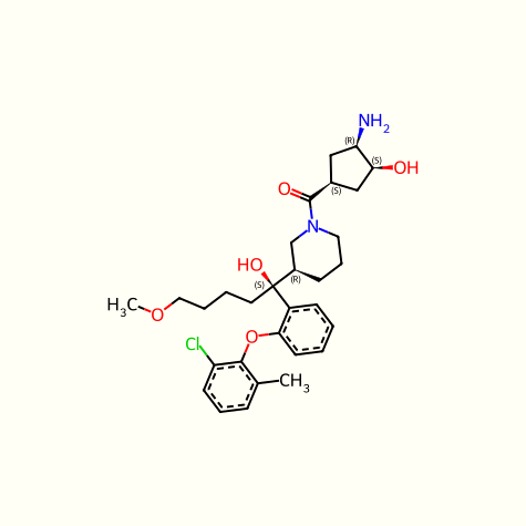 COCCCC[C@@](O)(c1ccccc1Oc1c(C)cccc1Cl)[C@@H]1CCCN(C(=O)[C@H]2C[C@@H](N)[C@@H](O)C2)C1